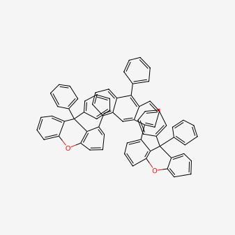 c1ccc(-c2c3cccc(-c4cccc5c4C(c4ccccc4)(c4ccccc4)c4ccccc4O5)c3cc3c(-c4cccc5c4C(c4ccccc4)(c4ccccc4)c4ccccc4O5)cccc23)cc1